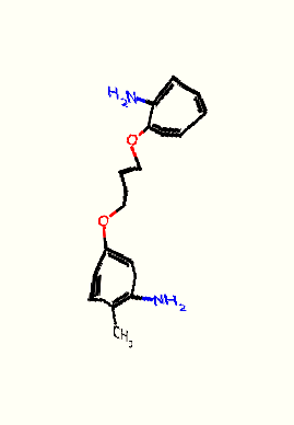 Cc1ccc(OCCCOc2ccccc2N)cc1N